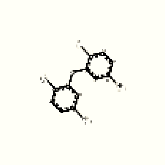 Nc1ccc(N)c(Oc2cc(N)ccc2Cl)c1